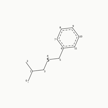 [CH2]C(C)CSCc1ccccc1